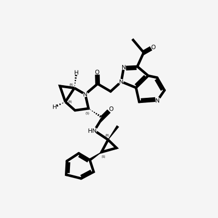 CC(=O)c1nn(CC(=O)N2[C@@H]3C[C@@H]3C[C@H]2C(=O)N[C@]2(C)C[C@H]2c2ccccc2)c2cnccc12